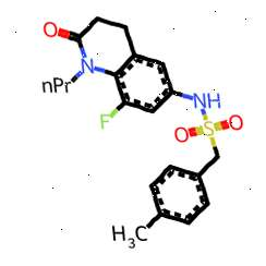 CCCN1C(=O)CCc2cc(NS(=O)(=O)Cc3ccc(C)cc3)cc(F)c21